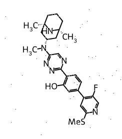 CSc1cc(-c2ccc(-c3ncc(N(C)[C@H]4C[C@]5(C)CCC[C@](C)(C4)N5)nn3)c(O)c2)c(F)cn1